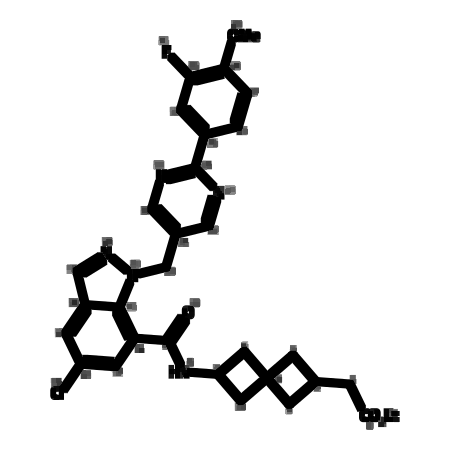 CCOC(=O)CC1CC2(C1)CC(NC(=O)c1cc(Cl)cc3cnn(Cc4cnc(-c5ccc(OC)c(F)c5)nc4)c13)C2